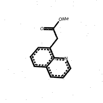 COC(=O)Cc1cccc2cccnc12